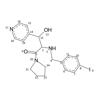 O=C(C(NCc1ccc(I)cc1)C(O)c1ccncc1)N1CCCC1